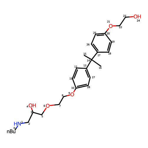 CCCCNCC(O)COCCOc1ccc(C(C)(C)c2ccc(OCCO)cc2)cc1